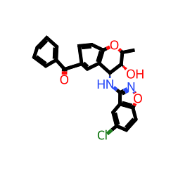 CC1Oc2ccc(C(=O)c3ccccc3)cc2[C@@H](Nc2noc3ccc(Cl)cc23)[C@@H]1O